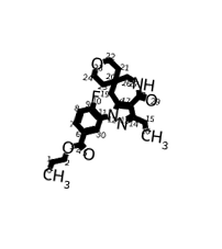 CCCOC(=O)c1ccc(F)c(-n2nc(CC)c3c2CC2(CCOCC2)CNC3=O)c1